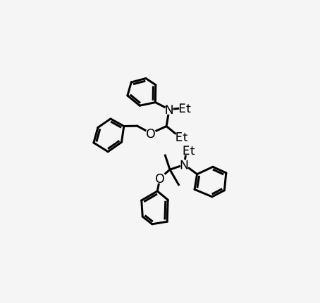 CCC(OCc1ccccc1)N(CC)c1ccccc1.CCN(c1ccccc1)C(C)(C)Oc1ccccc1